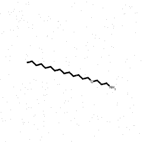 CCCCCCCCCCCCCCOCCCN